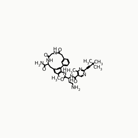 Cc1cc2cc(c1NC(=O)[C@H](CCN)NC(=O)c1cnc(C#CC(C)(C)C)nc1C)-c1cccc(c1)CC(=O)NCC(=O)NC(C(N)=O)C2